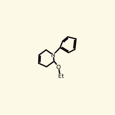 CCOC1CC=CCN1c1ccccc1